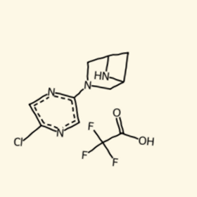 Clc1cnc(N2CC3CC(C2)N3)cn1.O=C(O)C(F)(F)F